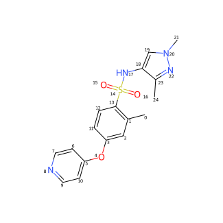 Cc1cc(Oc2ccncc2)ccc1S(=O)(=O)Nc1cn(C)nc1C